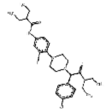 CCC(CC)C(=O)Nc1ccc(N2CCN(C(C(=O)N(CC)CC)c3ccc(Cl)cc3)CC2)c(F)c1